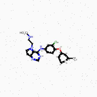 O=C(O)NCCn1ccc2ncnc(Nc3ccc(Oc4cccc(C(F)(F)F)c4)c(Cl)c3)c21